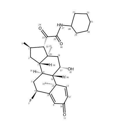 C[C@@H]1C[C@H]2[C@@H]3C[C@H](F)C4=CC(=O)C=C[C@]4(C)[C@H]3[C@@H](O)C[C@]2(C)[C@H]1C(=O)C(=O)NC1CCCCC1